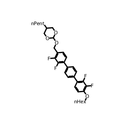 CCCCCCOc1ccc(-c2ccc(-c3ccc(COC4OCC(CCCCC)CO4)c(F)c3F)cc2)c(F)c1F